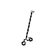 C#CC#CC#CC#CC#CC#CC#CC#CN(Cc1ccccn1)Cc1ccccn1